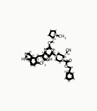 CN1CCC[C@H]1COc1nc(N2CCN(C(=O)OCc3ccccc3)[C@@H](CC#N)C2)c2[nH]cc(Cc3c(C(F)(F)F)ccc4[nH]ncc34)c2n1